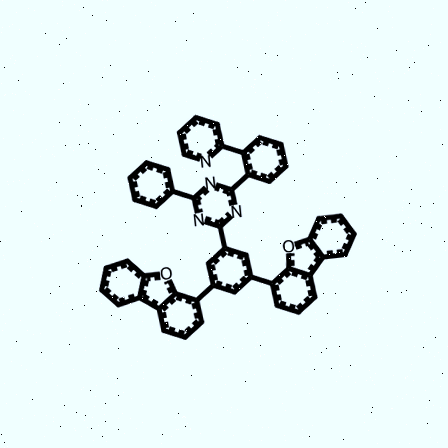 c1ccc(-c2nc(-c3cc(-c4cccc5c4oc4ccccc45)cc(-c4cccc5c4oc4ccccc45)c3)nc(-c3ccccc3-c3ccccn3)n2)cc1